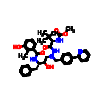 COC(=O)N[C@H](C(=O)NN(Cc1ccc(-c2ccccn2)cc1)C[C@@H](O)[C@H](Cc1ccccc1)NC(=O)c1cccc(O)c1C)C(C)(C)C